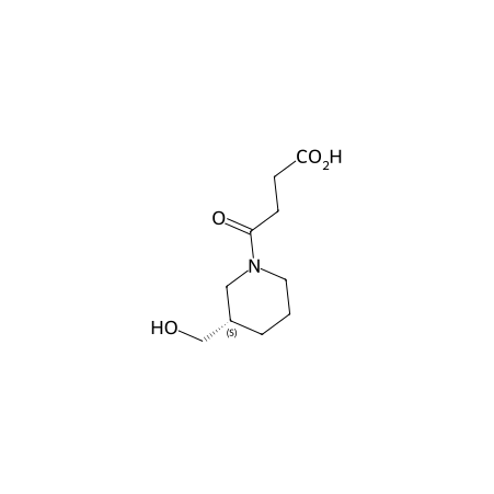 O=C(O)CCC(=O)N1CCC[C@H](CO)C1